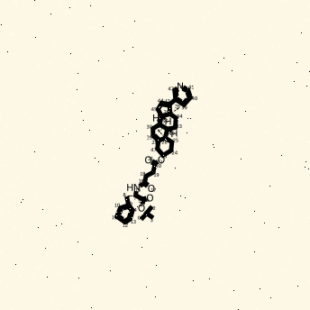 CC(C)(C)OC(=O)[C@H](Cc1ccccc1)NC(=O)CCC(=O)O[C@H]1CC[C@@]2(C)C(=CC[C@@H]3[C@@H]2CC[C@]2(C)C(c4cccnc4)=CC[C@@H]32)C1